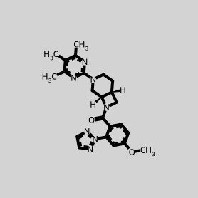 COc1ccc(C(=O)N2C[C@H]3CCN(c4nc(C)c(C)c(C)n4)C[C@H]32)c(-n2nccn2)c1